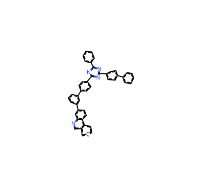 c1ccc(-c2ccc(-c3nc(-c4ccccc4)nc(-c4ccc(-c5cccc(-c6ccc7c(c6)ncc6ccccc67)c5)cc4)n3)cc2)cc1